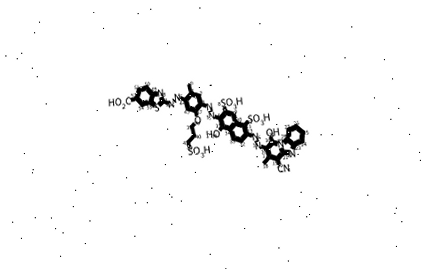 Cc1cc(N=Nc2c(S(=O)(=O)O)cc3c(S(=O)(=O)O)c(N=Nc4c(C)c(C#N)c5nc6ccccc6n5c4O)ccc3c2O)c(OCCCS(=O)(=O)O)cc1N=Nc1nc2ccc(C(=O)O)cc2s1